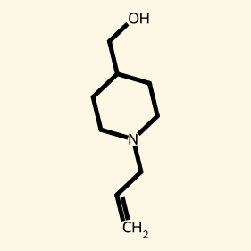 C=CCN1CCC(CO)CC1